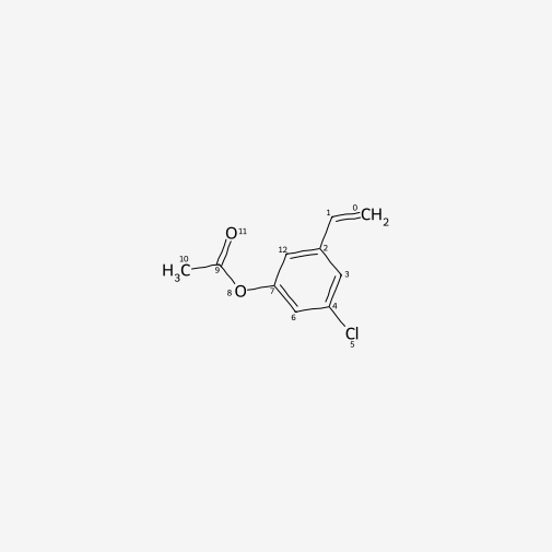 C=Cc1cc(Cl)cc(OC(C)=O)c1